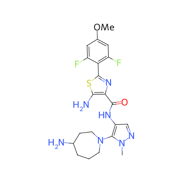 COc1cc(F)c(-c2nc(C(=O)Nc3cnn(C)c3N3CCCC(N)CC3)c(N)s2)c(F)c1